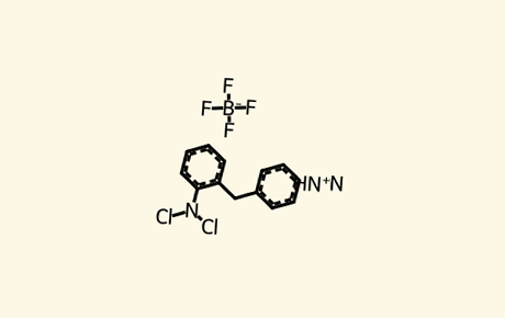 ClN(Cl)c1ccccc1Cc1ccccc1.F[B-](F)(F)F.N#[NH+]